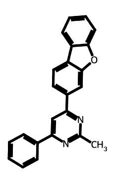 Cc1nc(-c2ccccc2)cc(-c2ccc3c(c2)oc2ccccc23)n1